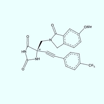 COc1ccc2c(c1)C(=O)N(C[C@@]1(C#Cc3ccc(C)cc3)NC(=O)NC1=O)C2